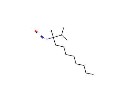 CCCCCCCCC(C)(N=C=O)C(C)C